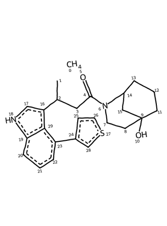 C.CC(CC(=O)N1CCC2(O)CCCC1C2)c1c[nH]c2cccc(-c3ccsc3)c12